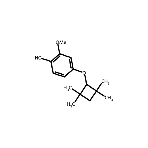 COc1cc(OC2C(C)(C)CC2(C)C)ccc1C#N